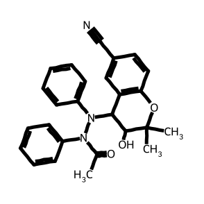 CC(=O)N(c1ccccc1)N(c1ccccc1)C1c2cc(C#N)ccc2OC(C)(C)C1O